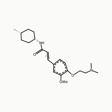 COc1cc(/C=C/C(=O)N[C@H]2CC[C@@H](C)CC2)ccc1OCCN(C)C